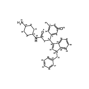 Cc1cccc(C(CC(=O)NC2CCC(N)CC2)c2cn(Cc3ccccc3)c3ncccc23)c1.Cl